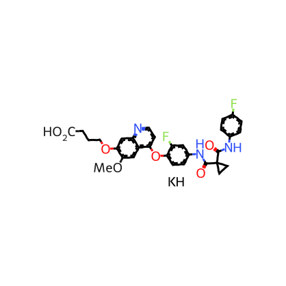 COc1cc2c(Oc3ccc(NC(=O)C4(C(=O)Nc5ccc(F)cc5)CC4)cc3F)ccnc2cc1OCCCC(=O)O.[KH]